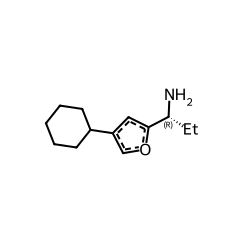 CC[C@@H](N)c1cc(C2CCCCC2)co1